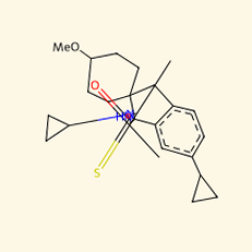 COC1CCC2(CC1)Cc1ccc(C3CC3)cc1C21NC(=S)N(C2CC2)C1=O